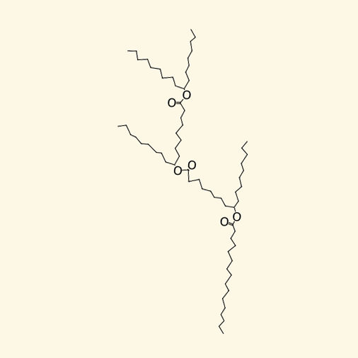 CCCCCCCCCCCCCCCC(=O)OC(CCCCCCCCC)CCCCCCCC(=O)OC(CCCCCCCCC)CCCCCCCC(=O)OC(CCCCCCCC)CCCCCCCCC